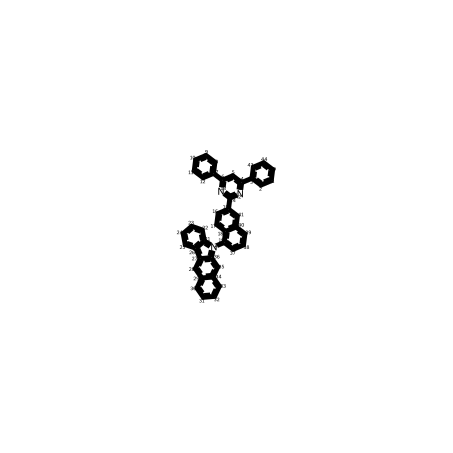 c1ccc(-c2cc(-c3ccccc3)nc(-c3ccc4c(-n5c6ccccc6c6cc7ccccc7cc65)cccc4c3)n2)cc1